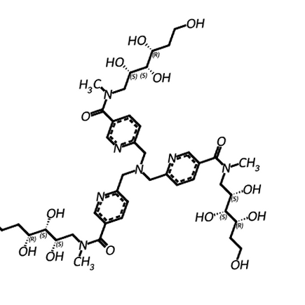 CN(C[C@H](O)[C@@H](O)[C@H](O)CCO)C(=O)c1ccc(CN(Cc2ccc(C(=O)N(C)C[C@H](O)[C@@H](O)[C@H](O)CCO)cn2)Cc2ccc(C(=O)N(C)C[C@H](O)[C@@H](O)[C@H](O)CCO)cn2)nc1